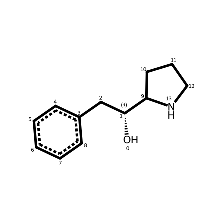 O[C@H](Cc1ccccc1)C1CCCN1